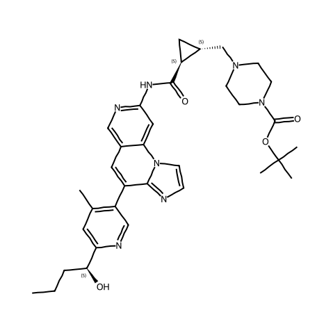 CCC[C@H](O)c1cc(C)c(-c2cc3cnc(NC(=O)[C@H]4C[C@@H]4CN4CCN(C(=O)OC(C)(C)C)CC4)cc3n3ccnc23)cn1